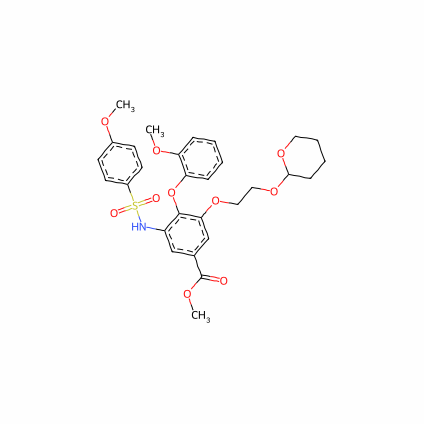 COC(=O)c1cc(NS(=O)(=O)c2ccc(OC)cc2)c(Oc2ccccc2OC)c(OCCOC2CCCCO2)c1